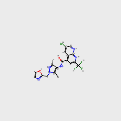 Cc1nn(Cc2ncco2)c(C)c1NC(=O)c1cc(C(F)(F)F)nc2ncc(Br)cc12